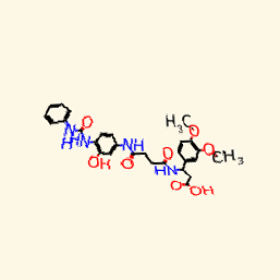 COc1ccc(C(CC(=O)O)NC(=O)CCC(=O)Nc2ccc(NC(=O)Nc3ccccc3)c(O)c2)cc1OC